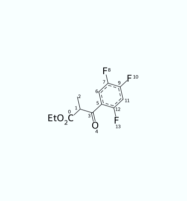 CCOC(=O)C(C)C(=O)c1cc(F)c(F)cc1F